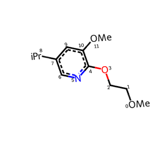 COCCOc1ncc(C(C)C)cc1OC